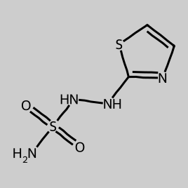 NS(=O)(=O)NNc1nccs1